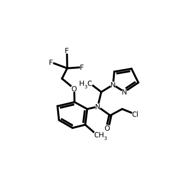 Cc1cccc(OCC(F)(F)F)c1N(C(=O)CCl)C(C)n1cccn1